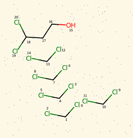 ClCCl.ClCCl.ClCCl.ClCCl.ClCCl.OCCC(Cl)Cl